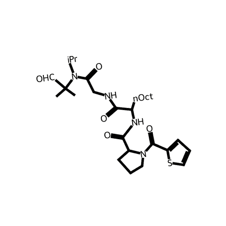 CCCCCCCCC(NC(=O)C1CCCN1C(=O)c1cccs1)C(=O)NCC(=O)N(C(C)C)C(C)(C)C=O